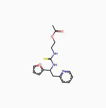 CC(=O)OCCNC(=S)NC(Cc1ccccn1)c1ccco1